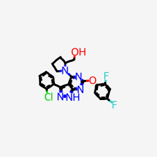 OCC1CCCN1c1nc(Oc2ccc(F)cc2F)nc2[nH]nc(-c3ccccc3Cl)c12